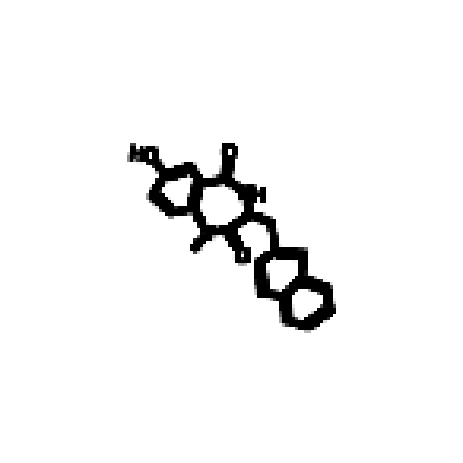 CN1C(=O)C(Cc2ccc3ccccc3c2)NC(=O)c2cc(O)ccc21